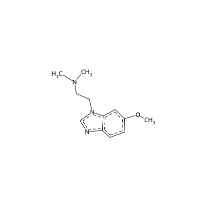 COc1ccc2ncn(CCN(C)C)c2c1